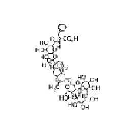 C=C1CC23CC[C@H]4[C@@](C)(CCC[C@@]4(C)C(=O)OC4O[C@H](C(=O)N[C@H](Cc5ccccc5)C(=O)O)[C@@H](O)[C@H](O)[C@H]4O)[C@@H]2CC(O[C@@H]2O[C@H](CO)[C@@H](O)C(O[C@@H]4O[C@H](CO)[C@@H](O)[C@H](O)[C@H]4O)[C@H]2O[C@@H]2O[C@H](CO)[C@@H](O)[C@H](O)[C@H]2O)C1C3